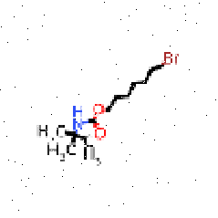 CC(C)(C)NC(=O)OCCCCCCCBr